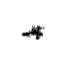 CC(C)(C)OC(=O)N[C@@H](Cc1ccccc1)C(=O)N[C@H](CCCNC(=N)N)C(=O)N[C@@H](CC12CC(C1)C2)C(=O)N[C@@H](CCCCNC(=O)OCc1ccccc1)C(N)=O